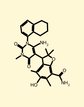 Cc1c(O)c(C)c2c(c1C(N)=O)OC(C)(C)C2c1c(N)n(-c2cccc3c2CCCC3)c(=O)n(C)c1=O